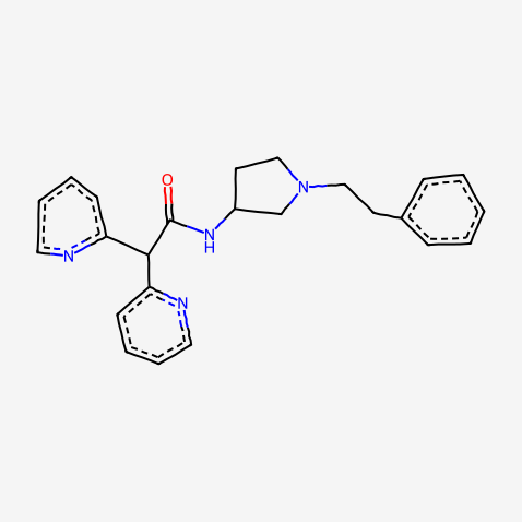 O=C(NC1CCN(CCc2ccccc2)C1)C(c1ccccn1)c1ccccn1